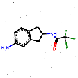 Nc1ccc2c(c1)CC(NC(=O)C(F)(F)F)C2